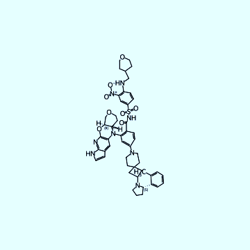 Cc1ccccc1[C@@H]1CCCN1C1CC2(CCN(c3ccc(C(=O)NS(=O)(=O)c4ccc(NCC5CCOCC5)c([N+](=O)[O-])c4)c(N4c5cc6cc[nH]c6nc5O[C@H]5COCC[C@@H]54)c3)CC2)C1